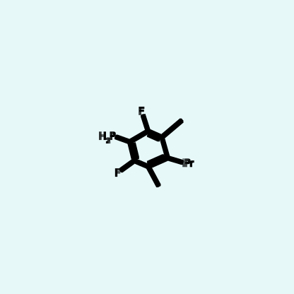 Cc1c(F)c(P)c(F)c(C)c1C(C)C